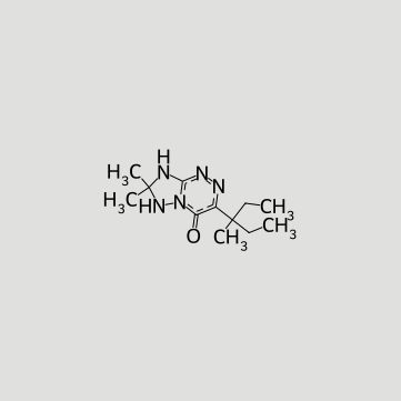 CCC(C)(CC)c1nnc2n(c1=O)NC(C)(C)N2